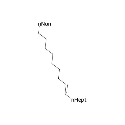 [CH2]CCCCCCC=CCCCCCCCCCCCCCCC[CH2]